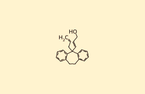 C=CCC1(/C=C/CO)c2ccccc2CCc2ccccc21